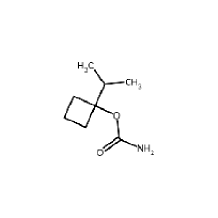 CC(C)C1(OC(N)=O)CCC1